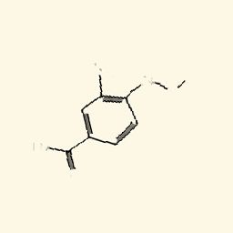 CCONc1ccc(C(N)=O)cc1[N+](=O)[O-]